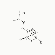 CC(C=O)CCC1=CC[C@H]2C[C@H]1C2(C)C